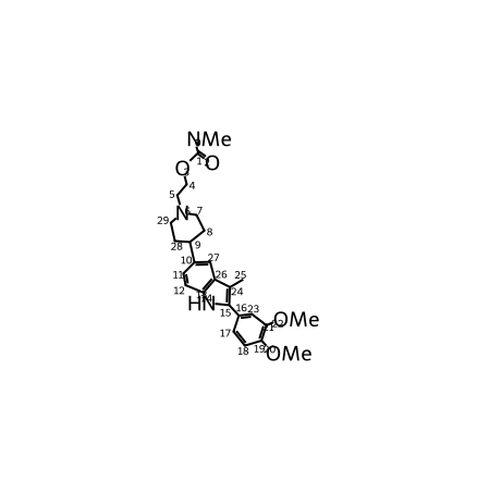 CNC(=O)OCCN1CCC(c2ccc3[nH]c(-c4ccc(OC)c(OC)c4)c(C)c3c2)CC1